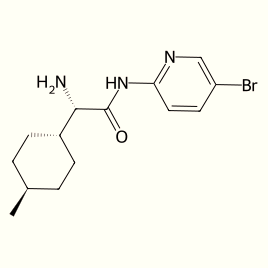 C[C@H]1CC[C@H]([C@H](N)C(=O)Nc2ccc(Br)cn2)CC1